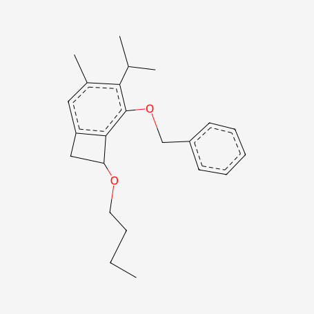 CCCCOC1Cc2cc(C)c(C(C)C)c(OCc3ccccc3)c21